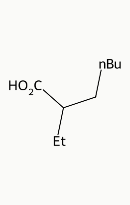 [CH2]CCCCC(CC)C(=O)O